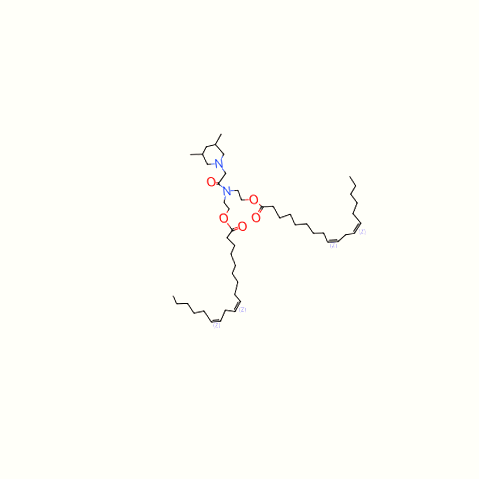 CCCCC/C=C\C/C=C\CCCCCCCC(=O)OCCN(CCOC(=O)CCCCCCC/C=C\C/C=C\CCCCC)C(=O)CN1CC(C)CC(C)C1